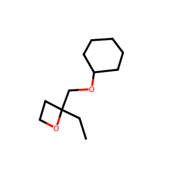 CCC1(COC2CCCCC2)CCO1